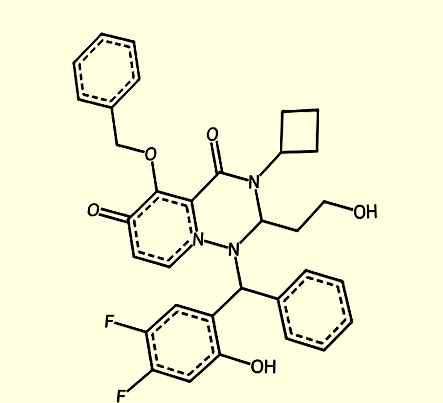 O=C1c2c(OCc3ccccc3)c(=O)ccn2N(C(c2ccccc2)c2cc(F)c(F)cc2O)C(CCO)N1C1CCC1